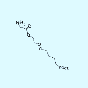 CCCCCCCCCCCCOOCCOC(=O)CN